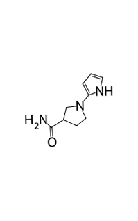 NC(=O)C1CCN(c2ccc[nH]2)C1